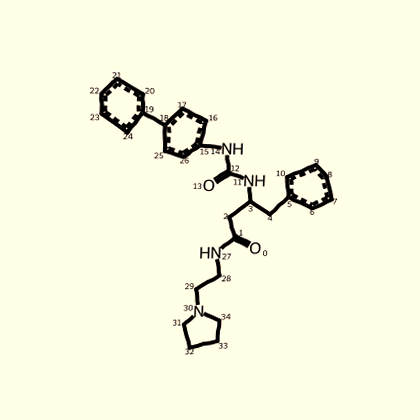 O=C(CC(Cc1ccccc1)NC(=O)Nc1ccc(-c2ccccc2)cc1)NCCN1CCCC1